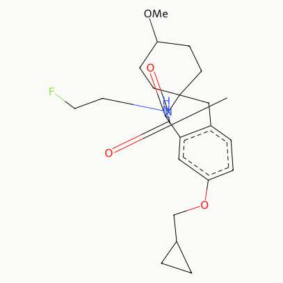 COC1CCC2(CC1)Cc1ccc(OCC3CC3)cc1C21NC(=O)N(CCF)C1=O